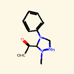 CN1NCN(c2ccccc2)C1C(=O)C=O